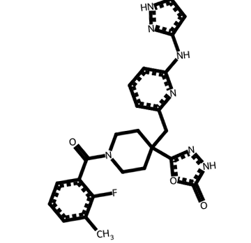 Cc1cccc(C(=O)N2CCC(Cc3cccc(Nc4cc[nH]n4)n3)(c3n[nH]c(=O)o3)CC2)c1F